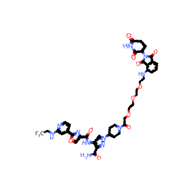 NC(=O)c1nn(C2CCN(C(=O)COCCOCCOCCNc3cccc4c3C(=O)N(C3CCC(=O)NC3=O)C4=O)CC2)cc1NC(=O)c1coc(-c2ccnc(NCC(F)(F)F)c2)n1